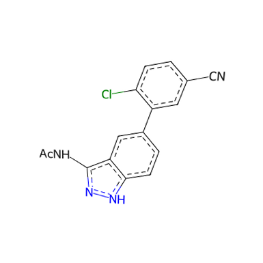 CC(=O)Nc1n[nH]c2ccc(-c3cc(C#N)ccc3Cl)cc12